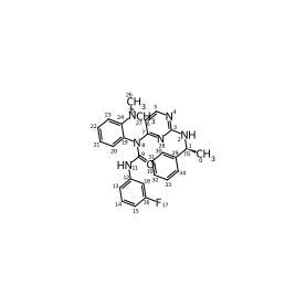 C[C@H](Nc1nccc(N(C(=O)Nc2cccc(F)c2)c2ccccc2N(C)C)n1)c1ccccc1